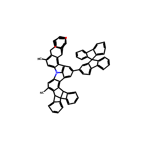 N#Cc1cc2c(c3c1C1c4ccccc4C3c3ccccc31)c1cc(-c3ccc4c(c3)C3(c5ccccc5-c5ccccc53)c3ccccc3-4)cc3c4c5c(c(C#N)cc4n2c13)C1c2ccccc2C12c1ccccc1C52